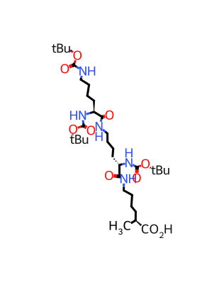 C[C@@H](CCCCNC(=O)[C@H](CCCCNC(=O)[C@H](CCCCNC(=O)OC(C)(C)C)NC(=O)OC(C)(C)C)NC(=O)OC(C)(C)C)C(=O)O